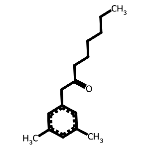 CCCCCCC(=O)Cc1cc(C)cc(C)c1